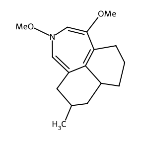 COC1=CN(OC)C=C2CC(C)CC3CCCC1=C23